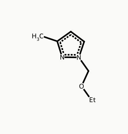 CCOCn1ccc(C)n1